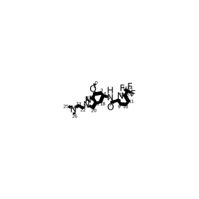 COc1cc(NC(=O)c2cccc(C(F)(F)F)n2)cc2cn(CCN(C)C)nc12